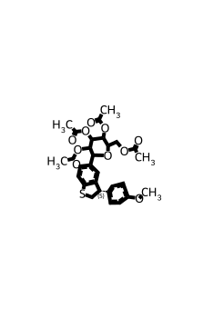 COc1ccc([C@@H]2CSc3ccc(C4OC(COC(C)=O)C(OC(C)=O)C(OC(C)=O)C4OC(C)=O)cc32)cc1